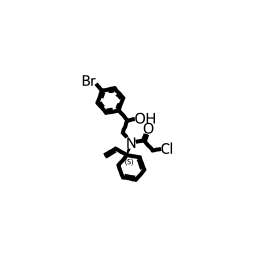 C=C[C@]1(N(CC(O)c2ccc(Br)cc2)C(=O)CCl)C=CC=CC1